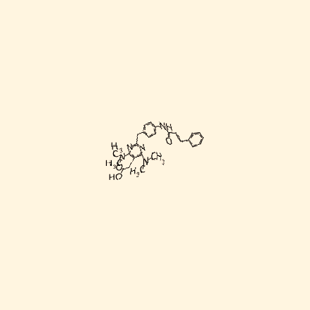 CN(C)c1nc(Cc2ccc(NC(=O)/C=C/c3ccccc3)cc2)nc(N(C)C)c1CC(=O)O